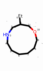 CCC1CNCCCCCCOC1